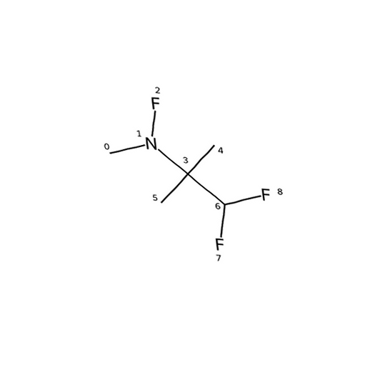 CN(F)C(C)(C)C(F)F